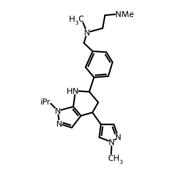 CNCCN(C)Cc1cccc(C2CC(c3cnn(C)c3)c3cnn(C(C)C)c3N2)c1